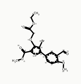 CCOC(=O)COc1c(C(=O)OC)sc(-c2ccc(OC)c(C=O)c2)c1Br